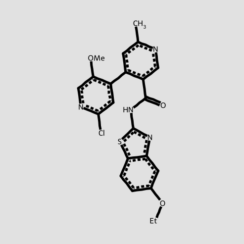 CCOc1ccc2sc(NC(=O)c3cnc(C)cc3-c3cc(Cl)ncc3OC)nc2c1